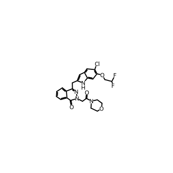 O=C(Cn1nc(Cc2cc3cc(Cl)c(OCC(F)F)cc3[nH]2)c2ccccc2c1=O)N1CCOCC1